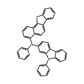 c1ccc(N(c2ccc3c4ccccc4n(-c4ccccc4)c3c2)c2cccc3c2ccc2c4ccccc4sc32)cc1